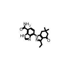 CCc1nn(-c2ccc(C(N)=O)c3[nH]cnc23)c2c1C(=O)CC(C)(C)C2